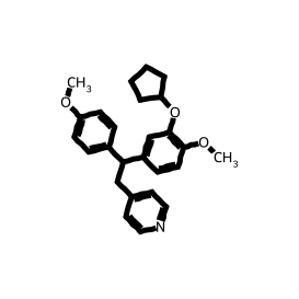 COc1ccc(C(Cc2ccncc2)c2ccc(OC)c(OC3CCCC3)c2)cc1